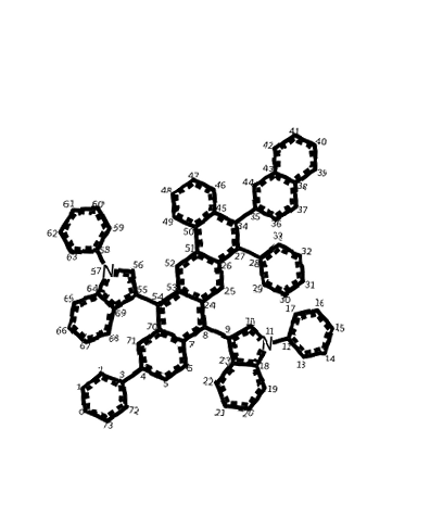 c1ccc(-c2ccc3c(-c4cn(-c5ccccc5)c5ccccc45)c4cc5c(-c6ccccc6)c(-c6ccc7ccccc7c6)c6ccccc6c5cc4c(-c4cn(-c5ccccc5)c5ccccc45)c3c2)cc1